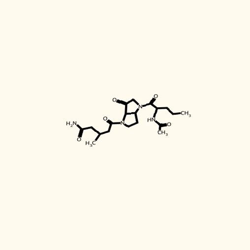 CCCC(NC(C)=O)C(=O)N1CC(=O)C2C1CCN2C(=O)CC(C)CC(N)=O